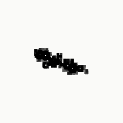 NC(CNc1nc(Cl)c(-c2ccc3cnccc3c2)s1)Cc1ccc(C(F)(F)F)cc1